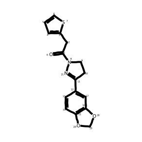 O=C(Cc1cccs1)N1CCC(c2ccc3c(c2)OCO3)=N1